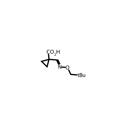 CC(C)(C)CON=CC1(C(=O)O)CC1